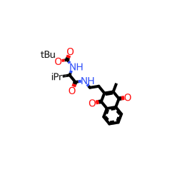 CC1=C(CCNC(=O)C(NC(=O)OC(C)(C)C)C(C)C)C(=O)c2ccccc2C1=O